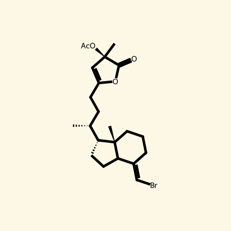 CC(=O)O[C@]1(C)C=C(CC[C@@H](C)[C@H]2CCC3C(=CBr)CCC[C@]32C)OC1=O